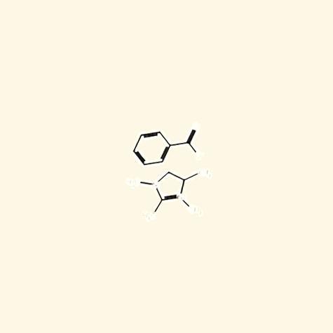 CC1=[N+](C)C(C)CN1C.O=C([O-])c1ccccc1